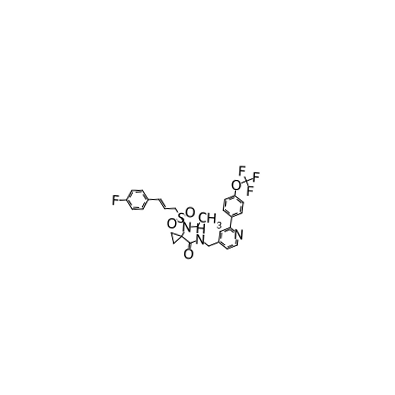 CCN(C1(C(=O)NCc2ccnc(-c3ccc(OC(F)(F)F)cc3)c2)CC1)S(=O)(=O)CC=Cc1ccc(F)cc1